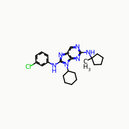 CC1(Nc2ncc3nc(Nc4cccc(Cl)c4)n(C4CCCCC4)c3n2)CCCC1